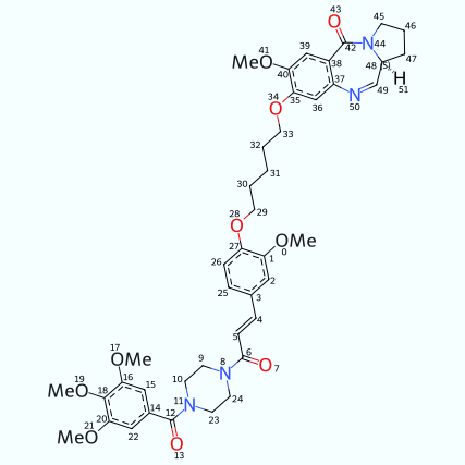 COc1cc(C=CC(=O)N2CCN(C(=O)c3cc(OC)c(OC)c(OC)c3)CC2)ccc1OCCCCCOc1cc2c(cc1OC)C(=O)N1CCC[C@H]1C=N2